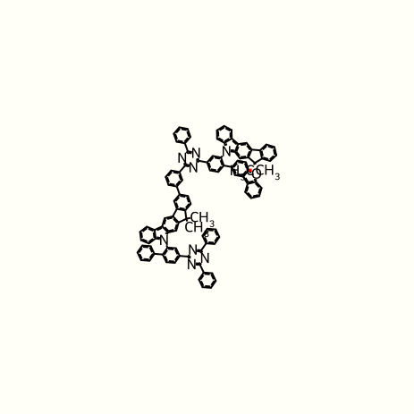 CC1(C)c2ccccc2-c2cc3c4ccccc4n(-c4cc(-c5nc(-c6ccccc6)nc(-c6cccc(-c7ccc8c(c7)-c7cc9c%10ccccc%10n(-c%10cc(-c%11nc(-c%12ccccc%12)nc(-c%12ccccc%12)n%11)ccc%10-c%10ccccc%10)c9cc7C8(C)C)c6)n5)ccc4-c4ccc5oc6ccccc6c5c4)c3cc21